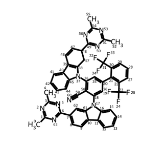 Cc1nc(C)nc(-c2ccc3c4ccccc4n(-c4cc(-c5c(C(F)(F)F)cccc5C(F)(F)F)cc(-n5c6c(c7ccccc75)C=CC(c5nc(C)nc(C)n5)C6)c4C#N)c3c2)n1